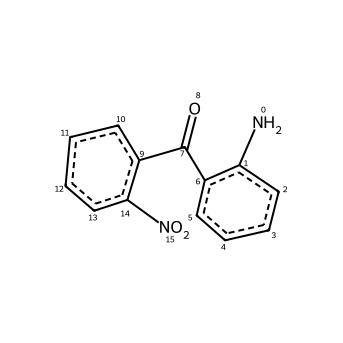 Nc1ccccc1C(=O)c1ccccc1[N+](=O)[O-]